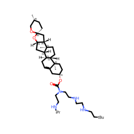 CC(C)NCCN(CCNCCNCCC(C)(C)C)C(=O)O[C@H]1CC[C@@]2(C)C(=CC[C@H]3[C@@H]4C[C@@H]5O[C@]6(CC[C@@H](C)CO6)C[C@@H]5[C@@]4(C)CC[C@@H]32)C1